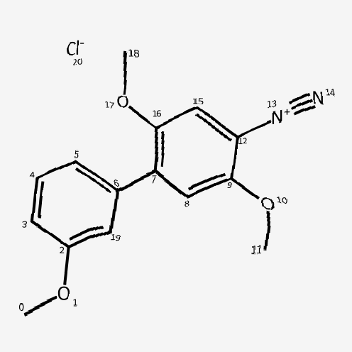 COc1cccc(-c2cc(OC)c([N+]#N)cc2OC)c1.[Cl-]